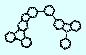 c1ccc(-n2c3ccccc3c3cc(-c4cccc(-c5ccc6sc7nc8c9ccccc9c9ccccc9c8nc7c6c5)c4)ccc32)cc1